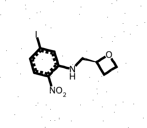 O=[N+]([O-])c1ccc(I)cc1NC[C@@H]1CCO1